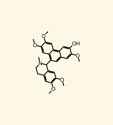 COc1cc2cc(C3c4cc(OC)c(OC)cc4CCN3C)c3cc(OC)c(OC)cc3c2cc1O